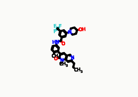 CCCc1cc2c(cn1)cc(-c1cc(NC(=O)c3cc(N4CCC(O)CC4)cc(C(F)(F)F)c3)ccc1C)c(=O)n2C